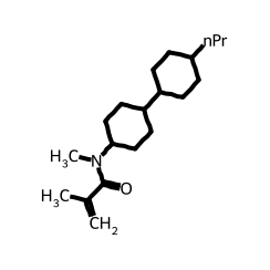 C=C(C)C(=O)N(C)C1CCC(C2CCC(CCC)CC2)CC1